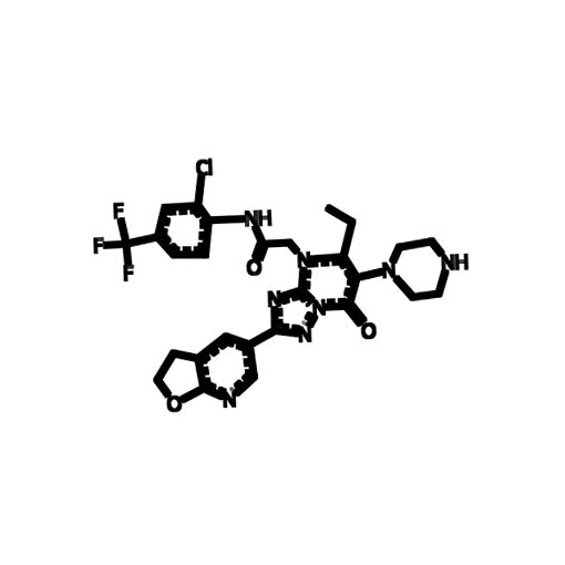 CCc1c(N2CCNCC2)c(=O)n2nc(-c3cnc4c(c3)CCO4)nc2n1CC(=O)Nc1ccc(C(F)(F)F)cc1Cl